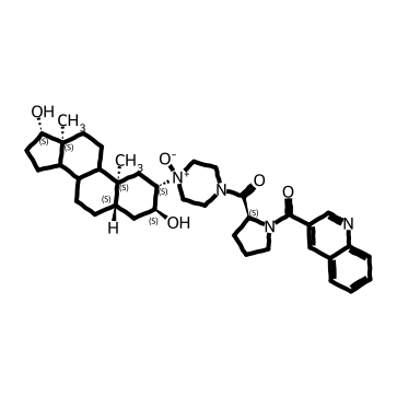 C[C@]12CCC3C(CC[C@H]4C[C@H](O)[C@@H]([N+]5([O-])CCN(C(=O)[C@@H]6CCCN6C(=O)c6cnc7ccccc7c6)CC5)C[C@]34C)C1CC[C@@H]2O